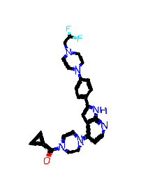 O=C(C1CC1)N1CCN(c2ccnc3[nH]c(-c4ccc(N5CCN(CC(F)F)CC5)cc4)cc23)CC1